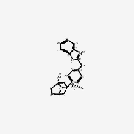 CC(=O)N[C@H]1CC2CC[C@@H](C1)N2Cc1ccc(Cc2nc3ccccc3o2)cc1